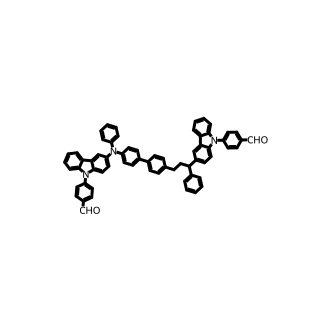 O=Cc1ccc(-n2c3ccccc3c3cc(C(CCc4ccc(-c5ccc(N(c6ccccc6)c6ccc7c(c6)c6ccccc6n7-c6ccc(C=O)cc6)cc5)cc4)c4ccccc4)ccc32)cc1